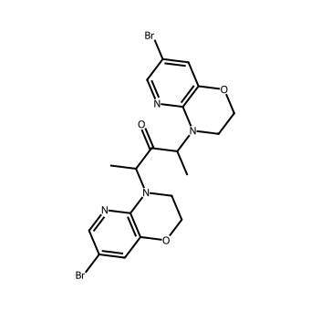 CC(C(=O)C(C)N1CCOc2cc(Br)cnc21)N1CCOc2cc(Br)cnc21